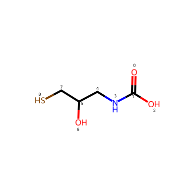 O=C(O)NCC(O)CS